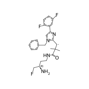 CC(C)([CH]c1nc(-c2cc(F)ccc2F)cn1Cc1ccccc1)C(=O)NCC[C@@H](N)CF